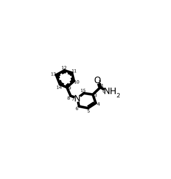 NC(=O)C1C=CCN(Cc2ccccc2)C1